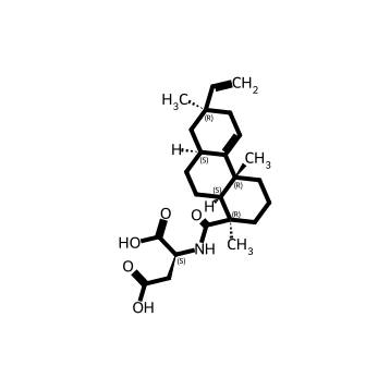 C=C[C@@]1(C)CC=C2[C@@H](CC[C@@H]3[C@](C)(C(=O)N[C@@H](CC(=O)O)C(=O)O)CCC[C@@]23C)C1